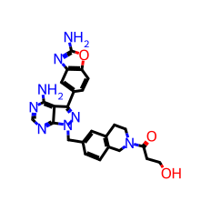 Nc1nc2cc(-c3nn(Cc4ccc5c(c4)CCN(C(=O)CCO)C5)c4ncnc(N)c34)ccc2o1